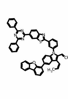 C=Cc1c(/C=C\C)c2cc(-c3cccc4c3oc3ccccc34)ccc2n1-c1cccc(-c2nc3ccc(-c4nc(-c5ccccc5)nc(-c5ccccc5)n4)cc3s2)c1